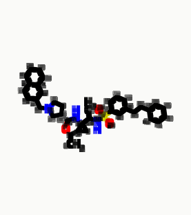 C=C[C@@H]1C[C@]1(NC(=O)[C@H]1CCN(Cc2ccc3ccccc3c2)C1)C(=C)NS(=O)(=O)c1cccc(CCc2ccccc2)c1